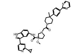 CO[C@@]1(C(=O)Nc2ccc3[nH]nc(-c4ccnc(C5CC5)c4)c3c2)CCN(CC(=O)N2CCC(C)(c3ccc(-c4ncccn4)cc3)CC2)C1